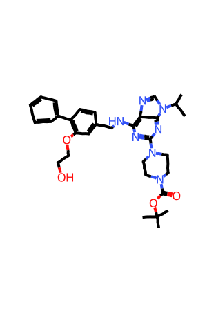 CC(C)n1cnc2c(NCc3ccc(-c4ccccc4)c(OCCO)c3)nc(N3CCN(C(=O)OC(C)(C)C)CC3)nc21